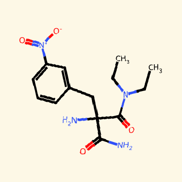 CCN(CC)C(=O)C(N)(Cc1cccc([N+](=O)[O-])c1)C(N)=O